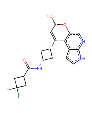 O=C(N[C@H]1C[C@@H](C2=CB(O)Oc3cnc4[nH]ccc4c32)C1)C1CC(F)(F)C1